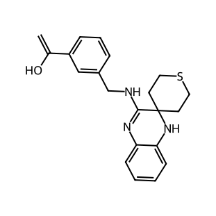 C=C(O)c1cccc(CNC2=Nc3ccccc3NC23CCSCC3)c1